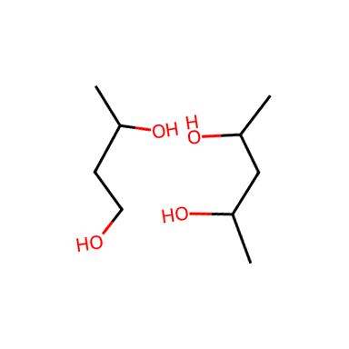 CC(O)CC(C)O.CC(O)CCO